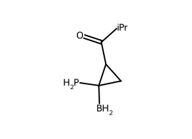 BC1(P)CC1C(=O)C(C)C